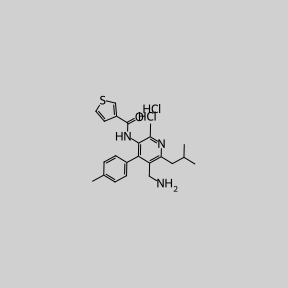 Cc1ccc(-c2c(CN)c(CC(C)C)nc(C)c2NC(=O)c2ccsc2)cc1.Cl.Cl